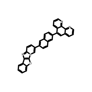 c1cnc2c(c1)cc(-c1ccc3cc(-c4ccc5nc6c7ccccc7oc6n5c4)ccc3c1)c1cccnc12